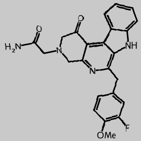 COc1ccc(Cc2nc3c(c4c2[nH]c2ccccc24)C(=O)CN(CC(N)=O)C3)cc1F